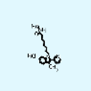 Cc1c(-c2cccnc2)n(CCCCCCCC(=O)NO)c2ccccc12.Cl